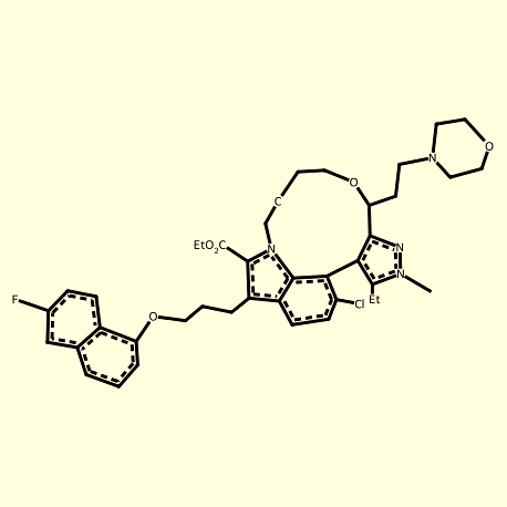 CCOC(=O)c1c(CCCOc2cccc3cc(F)ccc23)c2ccc(Cl)c3c2n1CCCCOC(CCN1CCOCC1)c1nn(C)c(CC)c1-3